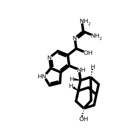 NC(N)=NC(O)c1cnc2[nH]ccc2c1N[C@H]1[C@@H]2CC3C[C@H]1C[C@@](O)(C3)C2